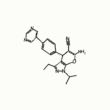 CCc1nn(C(C)C)c2c1C(c1ccc(-c3cncnc3)cc1)C(C#N)=C(N)O2